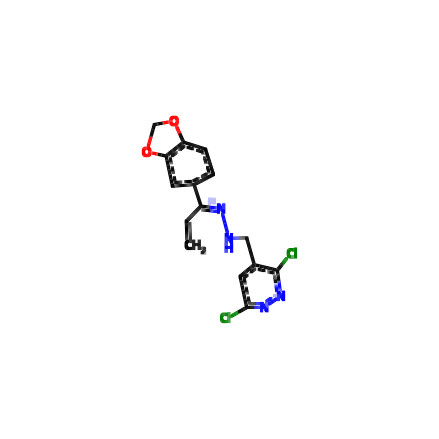 C=C/C(=N\NCc1cc(Cl)nnc1Cl)c1ccc2c(c1)OCO2